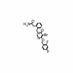 NC(=O)Cc1ccccc1Cn1cnc(OCc2ccc(F)cc2F)c(Br)c1=O